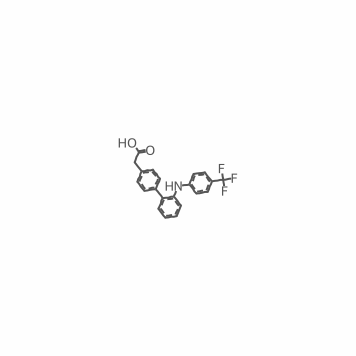 O=C(O)Cc1ccc(-c2ccccc2Nc2ccc(C(F)(F)F)cc2)cc1